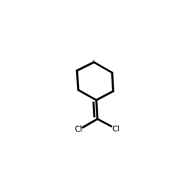 ClC(Cl)=C1CC[CH]CC1